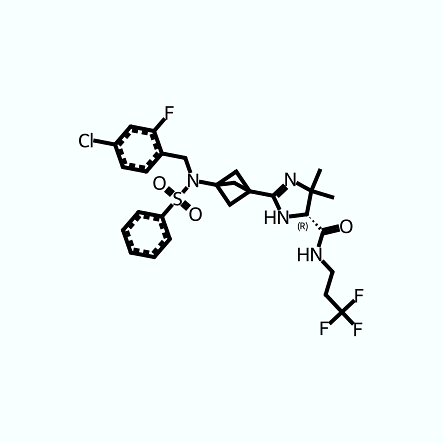 CC1(C)N=C(C23CC(N(Cc4ccc(Cl)cc4F)S(=O)(=O)c4ccccc4)(C2)C3)N[C@H]1C(=O)NCCC(F)(F)F